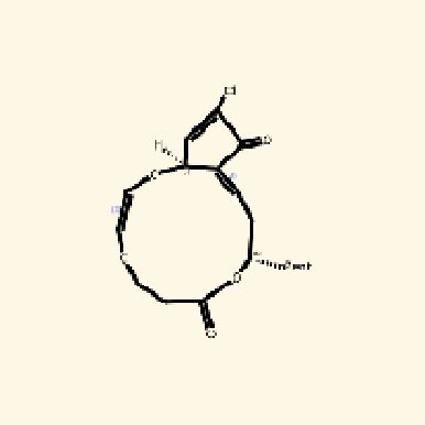 CCCCC[C@H]1C/C=C2/C(=O)C(Cl)=C[C@@H]2C/C=C\CCCC(=O)O1